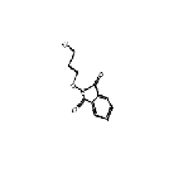 O=C1c2ccccc2C(=O)N1OCCCCl